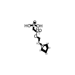 O=[PH](CP(=O)(O)O)OCSn1cccc1